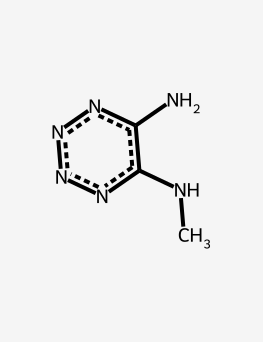 CNc1nnnnc1N